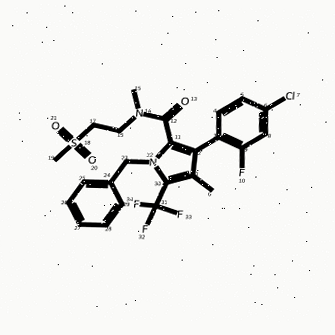 Cc1c(-c2ccc(Cl)cc2F)c(C(=O)N(C)CCS(C)(=O)=O)n(Cc2ccccc2)c1C(F)(F)F